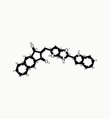 O=C1C(=Cc2cc3oc(-c4cc5ccccc5s4)nc3o2)C(=O)c2cc3ccccc3cc21